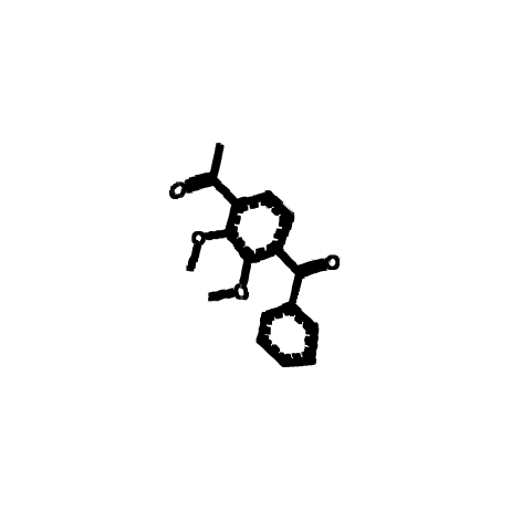 COc1c(C(C)=O)ccc(C(=O)c2ccccc2)c1OC